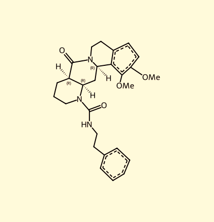 COc1ccc2c(c1OC)[C@H]1C[C@@H]3[C@@H](CCCN3C(=O)NCCc3ccccc3)C(=O)N1CC2